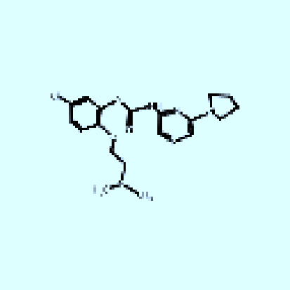 CN(C)CCOc1ccc(Cl)cc1NC(=O)Nc1cncc(N2CCCC2)n1